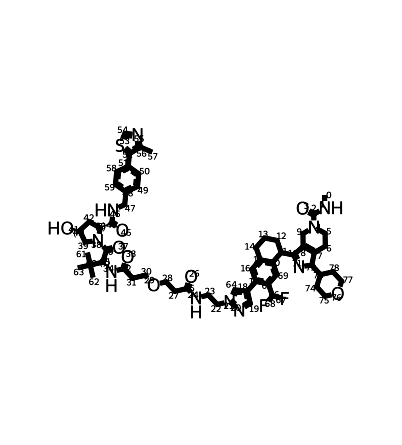 CNC(=O)N1CCC2=C(C1)C(C1CCCc3cc(-c4cnn(CCNC(=O)CCOCCC(=O)N[C@@H](C(=O)N5C[C@H](O)C[C@@H]5C(=O)NCc5ccc(-c6scnc6C)cc5)C(C)(C)C)c4)c(C(F)F)cc31)=NC2C1CCOCC1